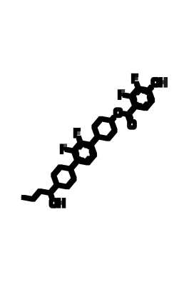 CCCC(O)C1CCC(c2ccc(C3CCC(OC(=O)c4ccc(O)c(F)c4F)CC3)c(F)c2F)CC1